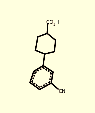 N#Cc1cccc(C2CCC(C(=O)O)CC2)c1